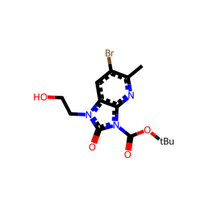 Cc1nc2c(cc1Br)n(CCO)c(=O)n2C(=O)OC(C)(C)C